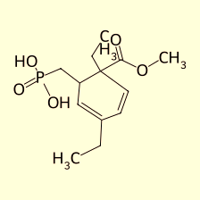 CCC1=CC(CP(=O)(O)O)C(CC)(C(=O)OC)C=C1